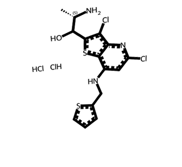 C[C@H](N)C(O)c1sc2c(NCc3cccs3)cc(Cl)nc2c1Cl.Cl.Cl